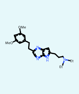 CCN(CC)CCCc1cc2nc(CCc3cc(OC)cc(OC)c3)cnc2[nH]1